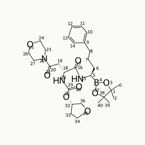 CC1(C)OB([C@H](CCCc2ccccc2)NC(=O)[C@@H](CC(=O)N2CCOCC2)NC(=O)O[C@H]2CCOC2)OC1(C)C